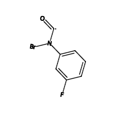 O=[C]N(Br)c1cccc(F)c1